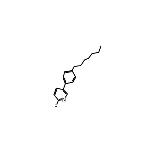 CCCCCCCc1ccc(-c2ccc(F)nc2)cc1